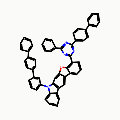 c1ccc(-c2ccc(-c3cccc(-n4c5ccccc5c5cc6c(cc54)oc4c(-c5nc(-c7ccccc7)nc(-c7ccc(-c8ccccc8)cc7)n5)cccc46)c3)cc2)cc1